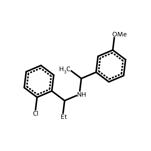 CCC(NC(C)c1cccc(OC)c1)c1ccccc1Cl